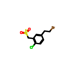 O=[SH](=O)Cc1cc(CCBr)ccc1Cl